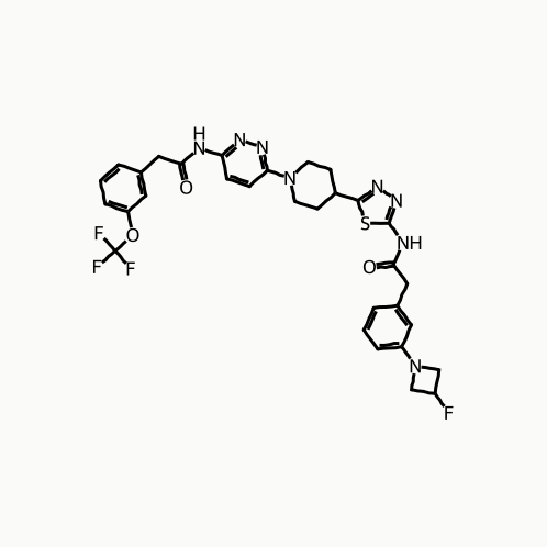 O=C(Cc1cccc(OC(F)(F)F)c1)Nc1ccc(N2CCC(c3nnc(NC(=O)Cc4cccc(N5CC(F)C5)c4)s3)CC2)nn1